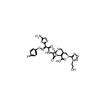 Nc1nc(C(=NOc2ccc(F)cc2)C(=O)NC2C(=O)N3C(C(=O)O)=C(CSc4nnnn4CCO)CS[C@@H]23)ns1